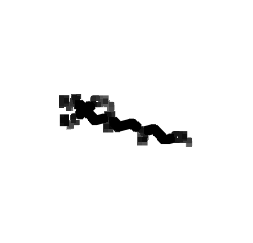 CCCNCCNCC(C)(C)N